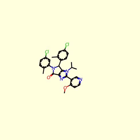 COc1ccncc1-c1nc2c(n1C(C)C)C(c1ccc(Cl)cc1C)N(c1cc(Cl)ccc1C)C2=O